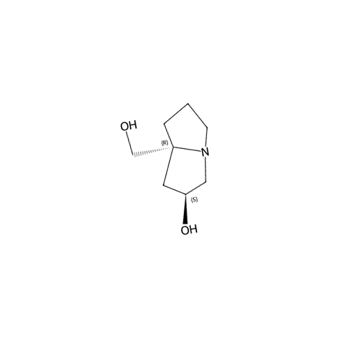 OC[C@]12CCCN1C[C@@H](O)C2